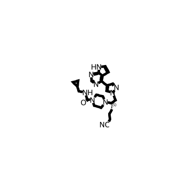 N#CCCC[C@@H](Cn1cc(-c2ncnc3[nH]ccc23)cn1)N1CCN(C(=O)NCC2CC2)CC1